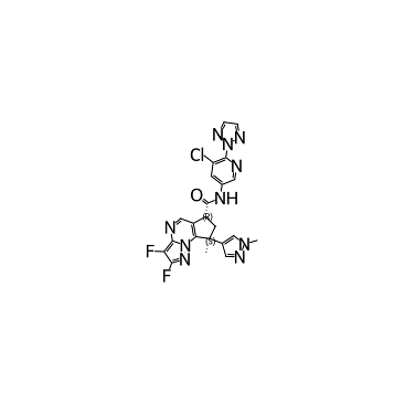 Cn1cc([C@]2(C)C[C@@H](C(=O)Nc3cnc(-n4nccn4)c(Cl)c3)c3cnc4c(F)c(F)nn4c32)cn1